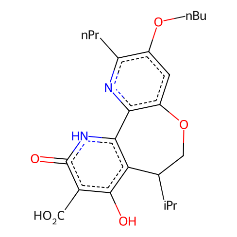 CCCCOc1cc2c(nc1CCC)-c1[nH]c(=O)c(C(=O)O)c(O)c1C(C(C)C)CO2